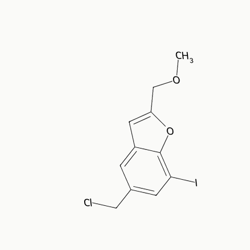 COCc1cc2cc(CCl)cc(I)c2o1